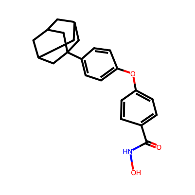 O=C(NO)c1ccc(Oc2ccc(C34CC5CC(CC(C5)C3)C4)cc2)cc1